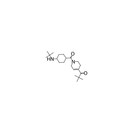 CC(C)(C)NC1CCC(C(=O)N2CC=C(C(=O)C(C)(C)C)CC2)CC1